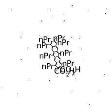 CCCc1c(CCC)c(CCC)c2cc3c(CCC)c4cc5c(CCC)c(C(=O)O)c(C(=O)O)c(CCC)c5cc4c(CCC)c3cc2c1CCC